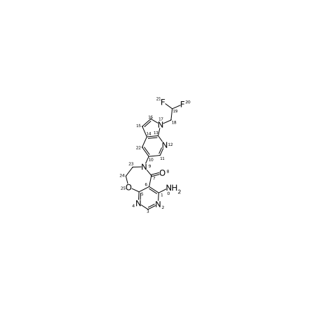 Nc1ncnc2c1C(=O)N(c1cnc3c(ccn3CC(F)F)c1)CCO2